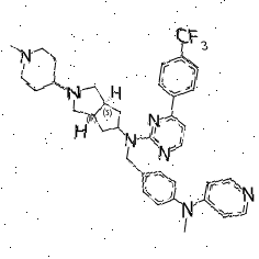 CN1CCC(N2C[C@H]3CC(N(Cc4ccc(N(C)c5ccncc5)cc4)c4nccc(-c5ccc(C(F)(F)F)cc5)n4)C[C@H]3C2)CC1